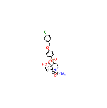 CC1(C(=O)O)C(S(=O)(=O)c2ccc(OCc3ccc(F)cc3)cc2)CCN(C(N)=O)C1(C)C